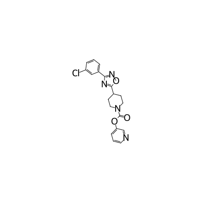 O=C(Oc1cccnc1)N1CCC(c2nc(-c3cccc(Cl)c3)no2)CC1